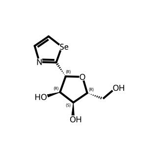 OC[C@H]1O[C@@H](c2ncc[se]2)[C@H](O)[C@@H]1O